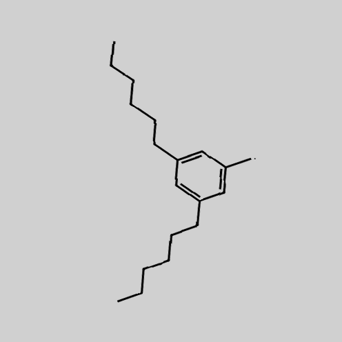 [CH2]c1cc(CCCCCC)cc(CCCCCC)c1